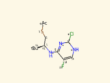 CC(=O)SC[C@@H](NC1=NC(Cl)NC=C1F)C(C)(C)C